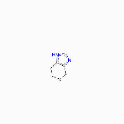 [C]1CCc2[nH]cnc2C1